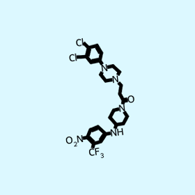 O=C(CCN1CCN(c2ccc(Cl)c(Cl)c2)CC1)N1CCC(Nc2ccc([N+](=O)[O-])c(C(F)(F)F)c2)CC1